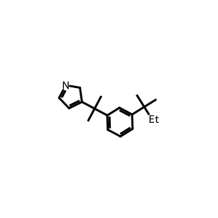 CCC(C)(C)c1cccc(C(C)(C)C2=CC=NC2)c1